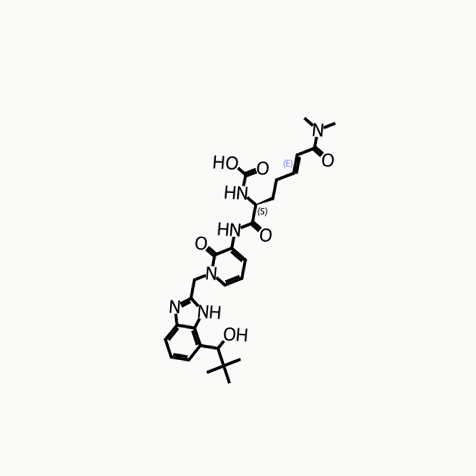 CN(C)C(=O)/C=C/CC[C@H](NC(=O)O)C(=O)Nc1cccn(Cc2nc3cccc(C(O)C(C)(C)C)c3[nH]2)c1=O